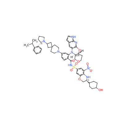 CC(C)c1ccccc1[C@@H]1CCCN1C1CC2(CCN(c3ccc(C(=O)NS(=O)(=O)c4cc5c(c([N+](=O)[O-])c4)N[C@@H](C4CCC(O)CC4)CO5)c(N4c5cc6cc[nH]c6nc5O[C@@H]5CCOC[C@H]54)c3)CC2)C1